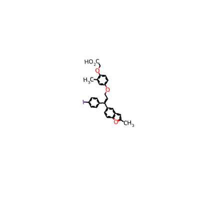 Cc1cc2cc(C(=CCOc3ccc(OCC(=O)O)c(C)c3)c3ccc(I)cc3)ccc2o1